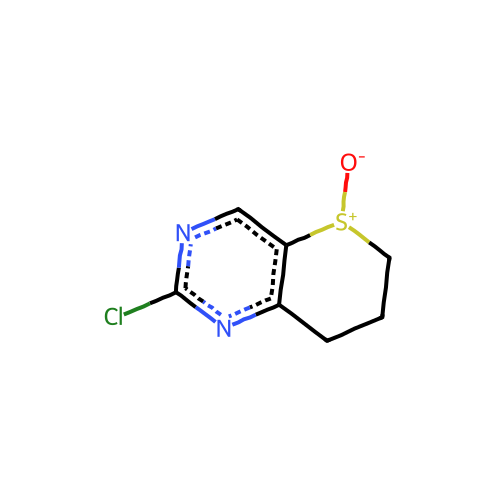 [O-][S+]1CCCc2nc(Cl)ncc21